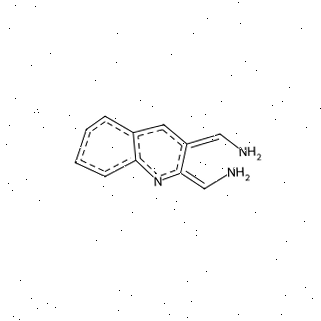 N/C=c1/cc2ccccc2n/c1=C/N